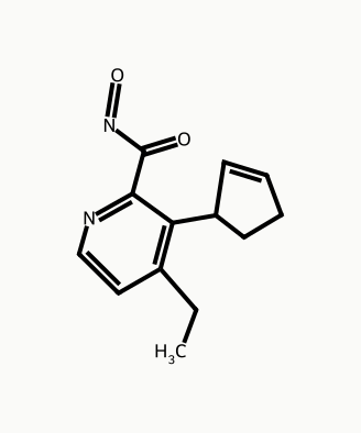 CCc1ccnc(C(=O)N=O)c1C1C=CCC1